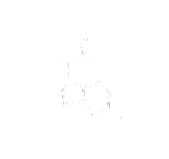 COC(=O)C(C)n1cc(C)c2cc(Br)ccc21